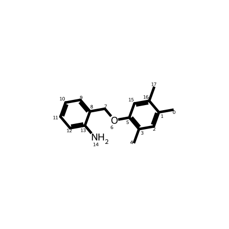 Cc1cc(C)c(OCc2ccccc2N)cc1C